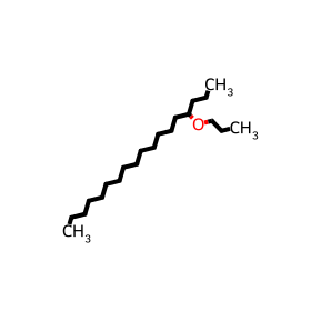 CCCCCCCCCCCCCCC(CCC)OCCC